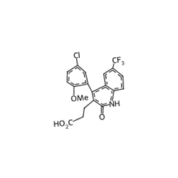 COc1ccc(Cl)cc1-c1c(CCC(=O)O)c(=O)[nH]c2ccc(C(F)(F)F)cc12